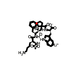 CS(=O)(=O)N[C@@H](CCCCN)C(=O)N[C@@H](Cc1ccccc1)P(=O)(O)CC1(C(=O)N[C@@H](Cc2c[nH]c3ccccc23)C(=O)[O-])CCCC1.[Li+]